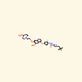 COc1cc2c(Oc3ccc(NC(=O)NCCC(C)(C)C)c(F)c3)ccnc2cc1OCCN1CCC(O)CC1